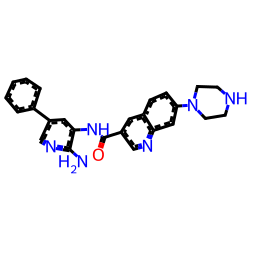 Nc1ncc(-c2ccccc2)cc1NC(=O)c1cnc2cc(N3CCNCC3)ccc2c1